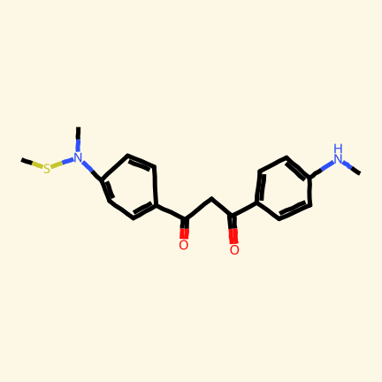 CNc1ccc(C(=O)CC(=O)c2ccc(N(C)SC)cc2)cc1